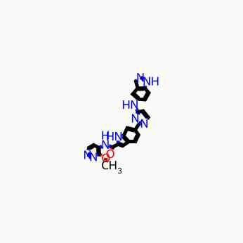 COc1nnccc1NC(=O)c1cc2ccc(-c3nccc(Nc4ccc5[nH]ncc5c4)n3)cc2[nH]1